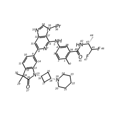 Cc1ccc(Nc2nc(-c3ccc4c(c3)N([C@H]3C[C@@H](N5CCCCC5)C3)C(=O)C4(C)C)cc3ncn(C(C)C)c23)cc1C(=O)N[C@H](C)C(F)F